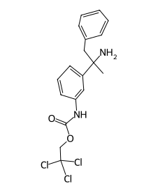 CC(N)(Cc1ccccc1)c1cccc(NC(=O)OCC(Cl)(Cl)Cl)c1